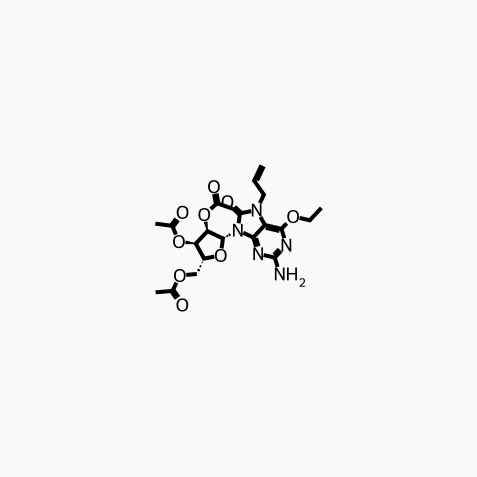 C=CCn1c(=O)n([C@@H]2O[C@H](COC(C)=O)[C@@H](OC(C)=O)[C@H]2OC(C)=O)c2nc(N)nc(OCC)c21